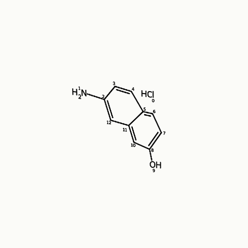 Cl.Nc1ccc2ccc(O)cc2c1